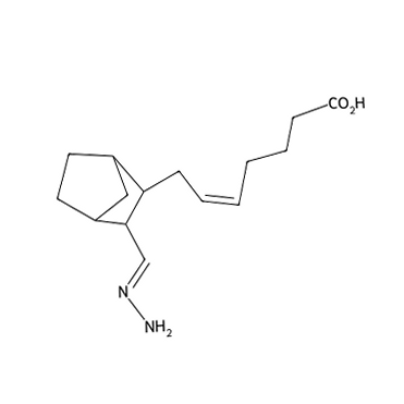 NN=CC1C2CCC(C2)C1C/C=C\CCCC(=O)O